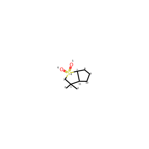 CC1(C)CS(=O)(=O)C2CCCC21